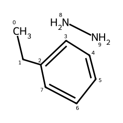 CCc1ccccc1.NN